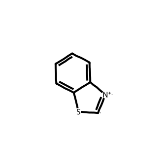 [C]1=[N+]c2ccccc2S1